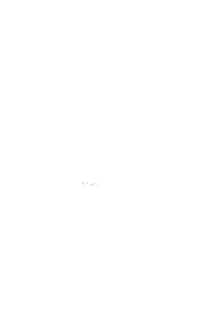 CNC(C)C1(C)CC2CCCC(C2)C1